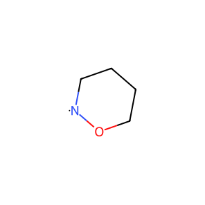 C1CCO[N]C1